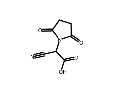 N#CC(C(=O)O)N1C(=O)CCC1=O